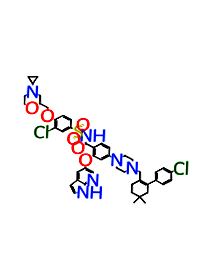 CC1(C)CCC(CN2CCN(c3ccc(C(=O)NS(=O)(=O)c4ccc(OCC5CN(C6CC6)CCO5)c(Cl)c4)c(Oc4cnc5[nH]ccc5c4)c3)CC2)=C(c2ccc(Cl)cc2)C1